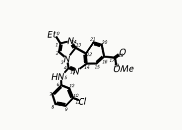 CCc1cn2c(Nc3cccc(Cl)c3)nc3cc(C(=O)OC)ccc3c2n1